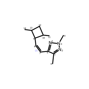 Cc1nn(C)nc1/C=C\C1C(C)CC1C